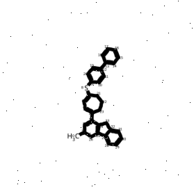 CC1C=C(C2=CC=C(Sc3ccc(-c4ccccc4)cc3)CCC2)C2=C(C1)c1ccccc1C2